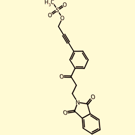 CS(=O)(=O)OCC#Cc1cccc(C(=O)CCN2C(=O)c3ccccc3C2=O)c1